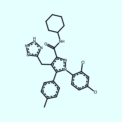 Cc1ccc(-c2c(Cc3nn[nH]n3)c(C(=O)NC3CCCCC3)nn2-c2ccc(Cl)cc2Cl)cc1